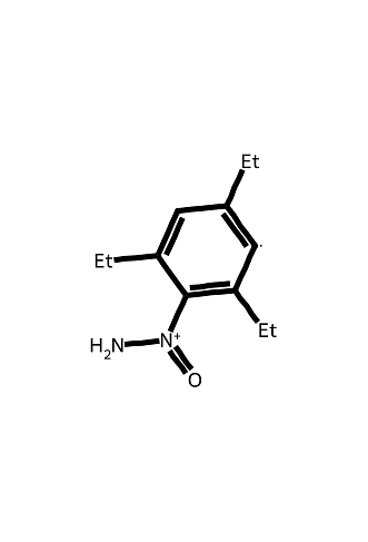 CCc1[c]c(CC)c([N+](N)=O)c(CC)c1